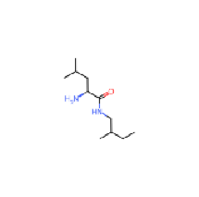 CCC(C)CNC(=O)[C@@H](N)CC(C)C